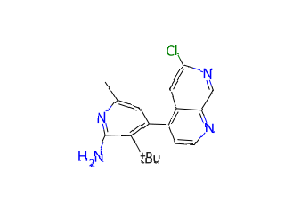 Cc1cc(-c2ccnc3cnc(Cl)cc23)c(C(C)(C)C)c(N)n1